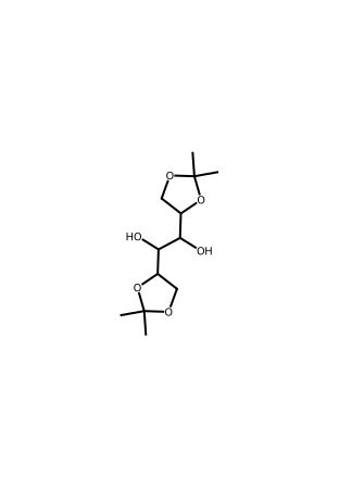 CC1(C)OCC(C(O)C(O)C2COC(C)(C)O2)O1